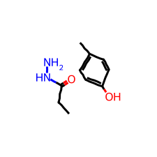 CCC(=O)NN.Cc1ccc(O)cc1